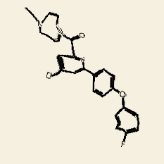 CN1CCN(C(=O)c2cc(Cl)cc(-c3ccc(Oc4ccc(F)cc4)cc3)n2)CC1